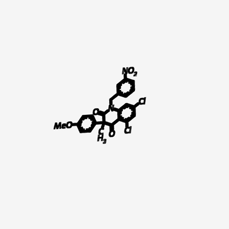 COc1ccc(C2(C)C(=O)c3c(Cl)cc(Cl)cc3N(Cc3cccc([N+](=O)[O-])c3)C2=O)cc1